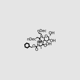 CCCCCCCCCCCCN(C(=O)CCCCCCCCCCC)[C@@H]1O[C@H](CO)[C@@H](O)[C@H](O)[C@H]1NC(=O)[C@@H](C)NC(=O)OCc1ccccc1